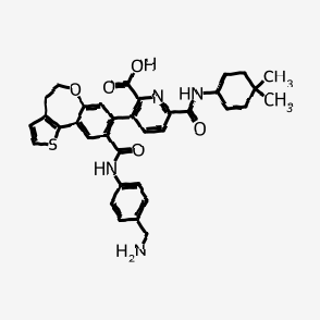 CC1(C)CCC(NC(=O)c2ccc(-c3cc4c(cc3C(=O)Nc3ccc(CN)cc3)-c3sccc3CCO4)c(C(=O)O)n2)CC1